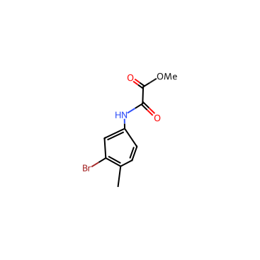 COC(=O)C(=O)Nc1ccc(C)c(Br)c1